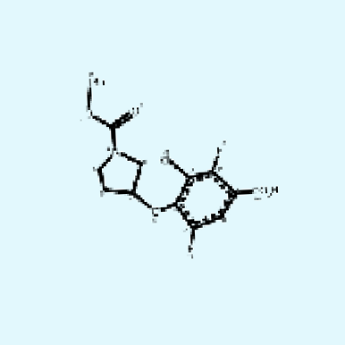 CC(C)(C)OC(=O)N1CCC(Oc2c(F)cc(C(=O)O)c(F)c2Cl)C1